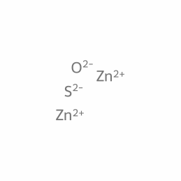 [O-2].[S-2].[Zn+2].[Zn+2]